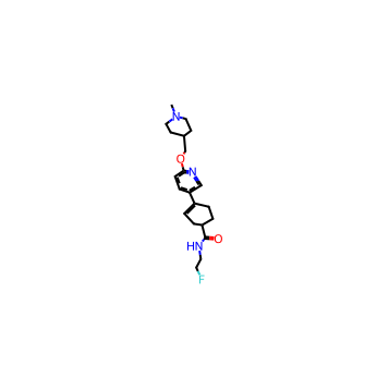 CN1CCC(COc2ccc(C3=CCC(C(=O)NCCF)CC3)cn2)CC1